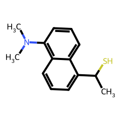 CC(S)c1cccc2c(N(C)C)cccc12